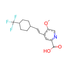 COc1cnc(C(=O)O)cc1/C=C/C1CCC(C(F)(F)F)CC1